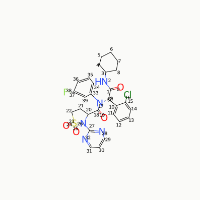 O=C(NC1CCCCC1)[C@H](c1ccccc1Cl)N(C(=O)C1CCS(=O)(=O)N1c1ncccn1)c1cccc(F)c1